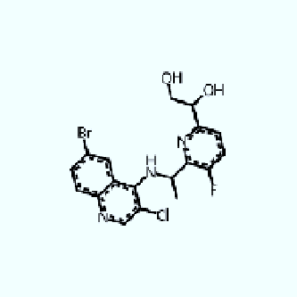 CC(Nc1c(Cl)cnc2ccc(Br)cc12)c1nc(C(O)CO)ccc1F